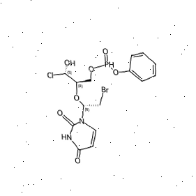 O=c1ccn([C@@H](CBr)O[C@H](CO[PH](=O)Oc2ccccc2)[C@@H](O)Cl)c(=O)[nH]1